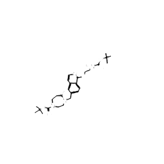 C[C@@H]1CCN(C(=O)OC(C)(C)C)CCN1Cc1ccc2c(SCCNC(=O)OC(C)(C)C)nccc2c1